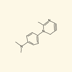 CC1=NC#CCN1c1ccc(N(C)C)cc1